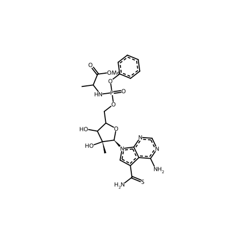 COC(=O)C(C)NP(=O)(OCC1O[C@@H](n2cc(C(N)=S)c3c(N)ncnc32)[C@](C)(O)C1O)Oc1ccccc1